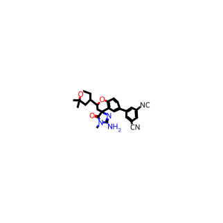 [C-]#[N+]c1cc(C#N)cc(-c2ccc3c(c2)C2(CC(C4CCOC(C)(C)C4)O3)N=C(N)N(C)C2=O)c1